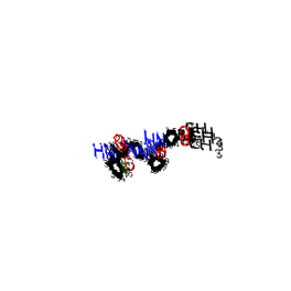 CC1(C)OB(c2ccc(NC(=O)/N=C(\c3ccccc3)N3CCN(C(=O)C(=O)c4c[nH]c5cccc(F)c45)CC3)cc2)OC1(C)C